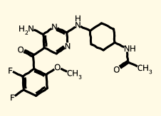 COc1ccc(F)c(F)c1C(=O)c1cnc(NC2CCC(NC(C)=O)CC2)nc1N